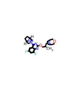 C[C@@H](COc1nc(N2C[C@H]3CC[C@@H](C2)N3)c2cc(F)cc(F)c2n1)CN1C2CCC1COC2